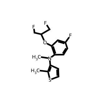 Cc1sccc1N(C)c1ccc(F)cc1OC(CF)CF